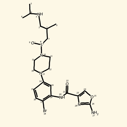 CC(CNC(C)C)C[S+]([O-])N1CCN(c2ccc(Br)c(NC(=O)c3coc(N)n3)c2)CC1